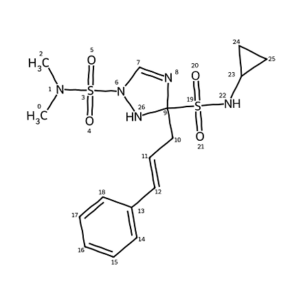 CN(C)S(=O)(=O)N1C=NC(CC=Cc2ccccc2)(S(=O)(=O)NC2CC2)N1